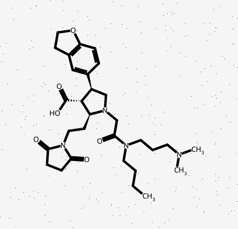 CCCCN(CCCN(C)C)C(=O)CN1C[C@H](c2ccc3c(c2)CCO3)[C@@H](C(=O)O)[C@@H]1CCN1C(=O)CCC1=O